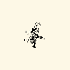 C=CC1CC1(NC(=O)C1CC(N)CN1C(=O)C(NC(=O)CC1CC1)C(C)(C)C)C(=O)OCC